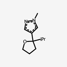 CC(C)C1(c2cnn(C)c2)CCCO1